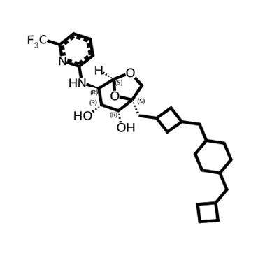 O[C@@H]1[C@@H](Nc2cccc(C(F)(F)F)n2)[C@H]2OC[C@](CC3CC(CC4CCC(CC5CCC5)CC4)C3)(O2)[C@@H]1O